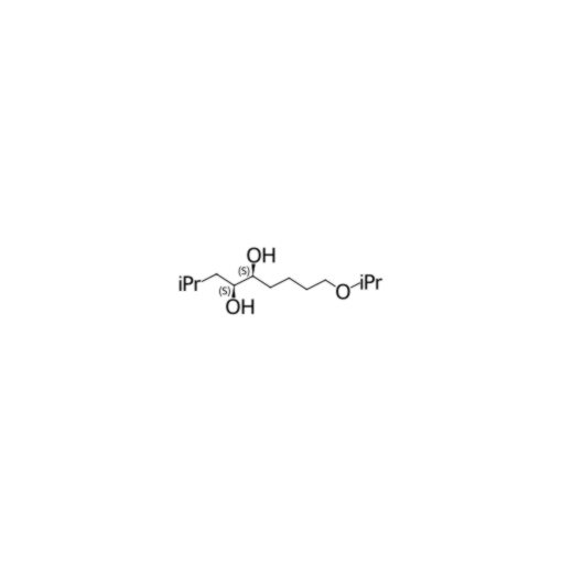 CC(C)C[C@H](O)[C@@H](O)CCCCOC(C)C